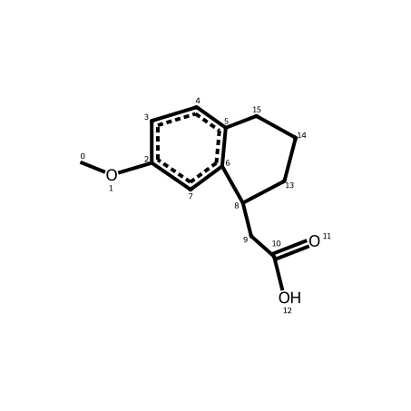 COc1ccc2c(c1)C(CC(=O)O)CCC2